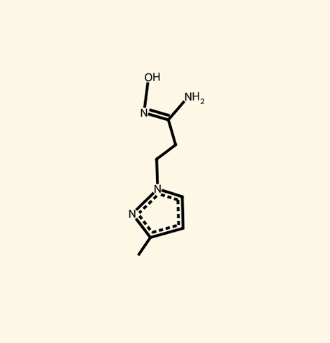 Cc1ccn(CCC(N)=NO)n1